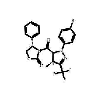 C[C@@H]1C(C(F)(F)F)=NN(c2ccc(Br)cc2)C1C(=O)N1C(=O)OC[C@@H]1c1ccccc1